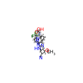 COc1cc(C#N)cc(Nc2ncc(-c3cccc(/C=C/C(=O)O)c3)c(-n3ccc(C(F)(F)F)n3)n2)c1